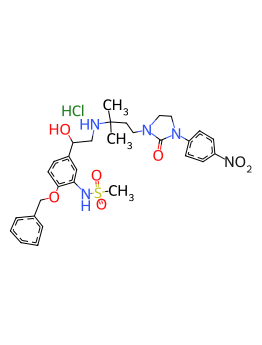 CC(C)(CCN1CCN(c2ccc([N+](=O)[O-])cc2)C1=O)NCC(O)c1ccc(OCc2ccccc2)c(NS(C)(=O)=O)c1.Cl